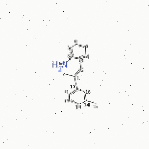 C/C(=C\c1ccccc1N)c1cccc(C)c1